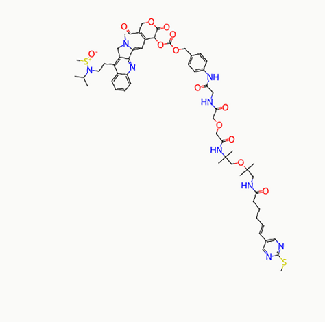 CSc1ncc(/C=C/CCCC(=O)NCC(C)(C)OCC(C)(C)NC(=O)COCC(=O)NCC(=O)Nc2ccc(COC(=O)OC3C(=O)OCC(C=O)=C3/C=C3/c4nc5ccccc5c(CCN(C(C)C)[S+](C)[O-])c4CN3C)cc2)cn1